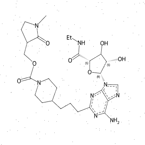 CCNC(=O)[C@H]1O[C@@H](n2cnc3c(N)nc(CCCC4CCN(C(=O)OCC5CCN(C)C5=O)CC4)nc32)[C@@H](O)C1O